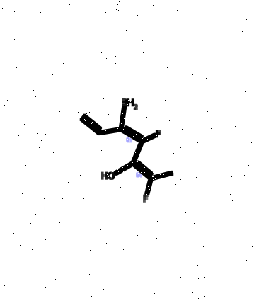 B/C(C=C)=C(F)/C(O)=C(\C)F